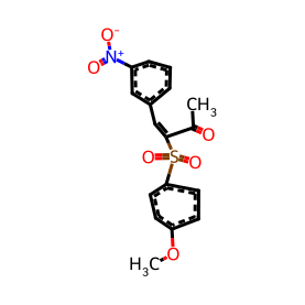 COc1ccc(S(=O)(=O)C(=Cc2cccc([N+](=O)[O-])c2)C(C)=O)cc1